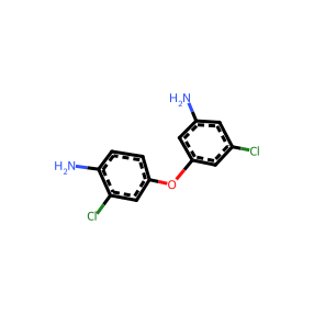 Nc1cc(Cl)cc(Oc2ccc(N)c(Cl)c2)c1